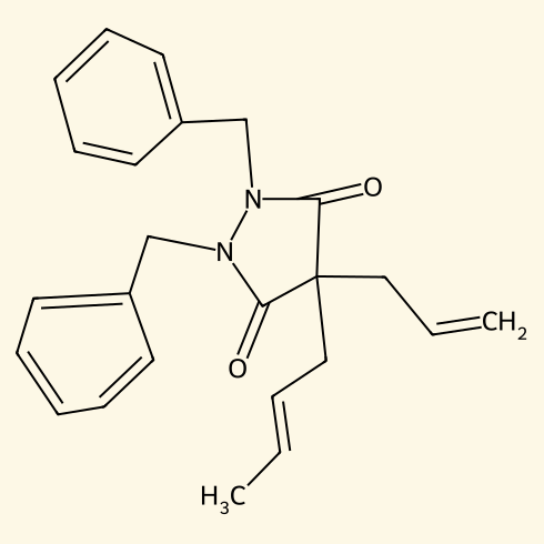 C=CCC1(CC=CC)C(=O)N(Cc2ccccc2)N(Cc2ccccc2)C1=O